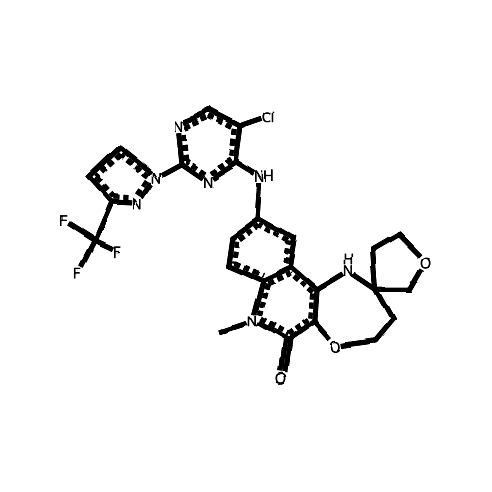 Cn1c(=O)c2c(c3cc(Nc4nc(-n5ccc(C(F)(F)F)n5)ncc4Cl)ccc31)NC1(CCOC1)CCO2